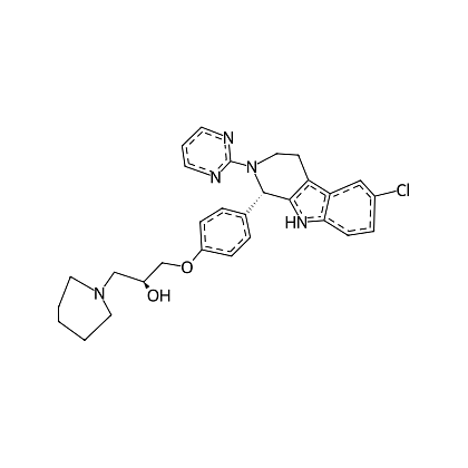 O[C@H](COc1ccc([C@H]2c3[nH]c4ccc(Cl)cc4c3CCN2c2ncccn2)cc1)CN1CCCCC1